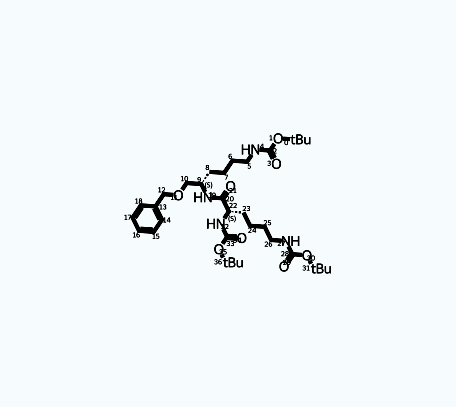 CC(C)(C)OC(=O)NCCCC[C@@H](COCc1ccccc1)NC(=O)[C@H](CCCCNC(=O)OC(C)(C)C)NC(=O)OC(C)(C)C